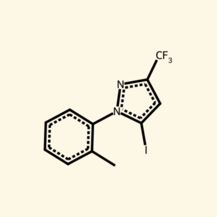 Cc1ccccc1-n1nc(C(F)(F)F)cc1I